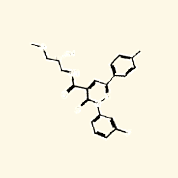 COC[C@H](O)CNC(=O)c1cc(-c2ccc(C)cc2)nn(-c2cccc(F)c2)c1=O